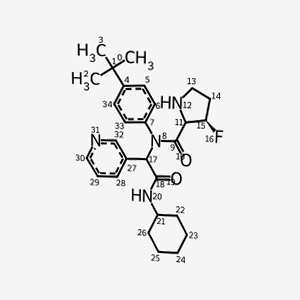 CC(C)(C)c1ccc(N(C(=O)C2NCC[C@H]2F)C(C(=O)NC2CCCCC2)c2cccnc2)cc1